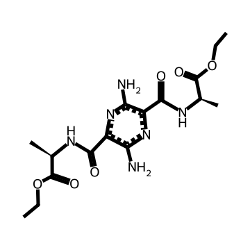 CCOC(=O)[C@@H](C)NC(=O)c1nc(N)c(C(=O)N[C@H](C)C(=O)OCC)nc1N